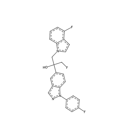 OC(CF)(Cn1ccc2c(F)cccc21)c1ccc2c(cnn2-c2ccc(F)cc2)c1